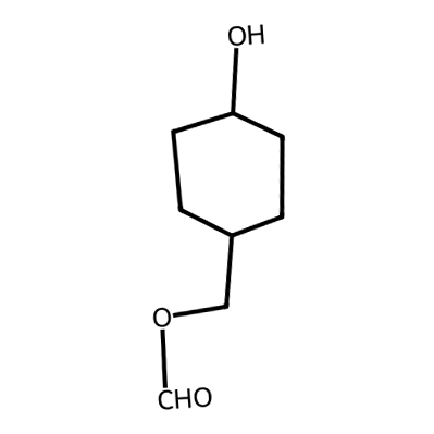 O=COCC1CCC(O)CC1